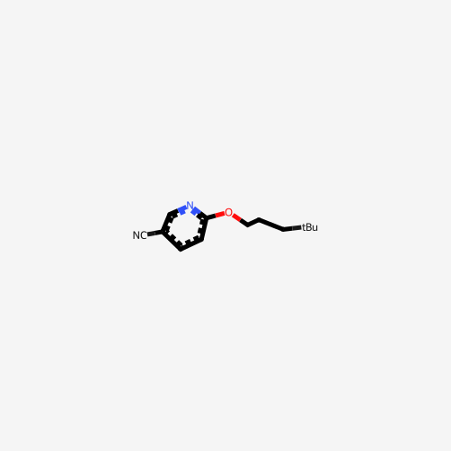 CC(C)(C)CCCOc1ccc(C#N)cn1